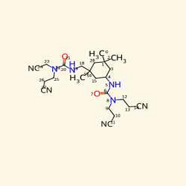 CC1(C)CC(NC(=O)N(CCC#N)CCC#N)CC(C)(CNC(=O)N(CC#N)CCC#N)C1